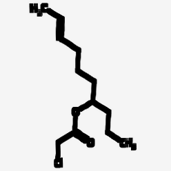 CC=CCCCC(CCC)OC(=O)CCl